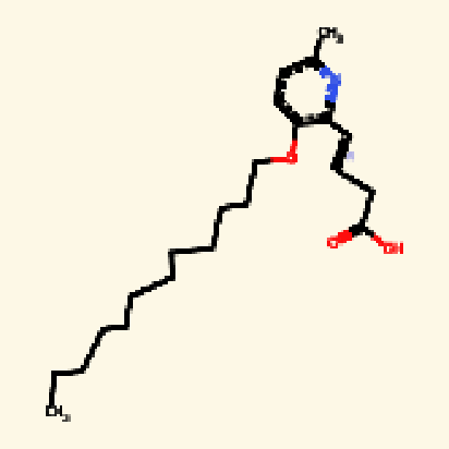 CCCCCCCCCCCCOc1ccc(C)nc1/C=C/CC(=O)O